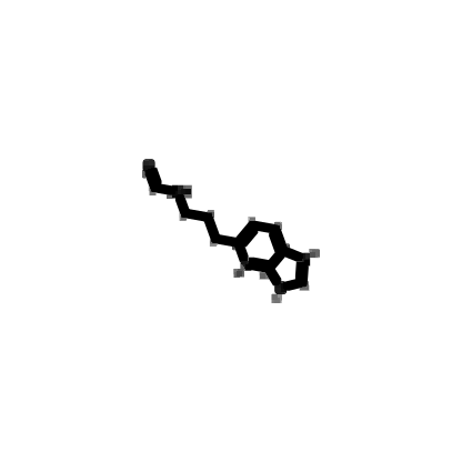 O=[C]NCCCc1ccc2ncoc2n1